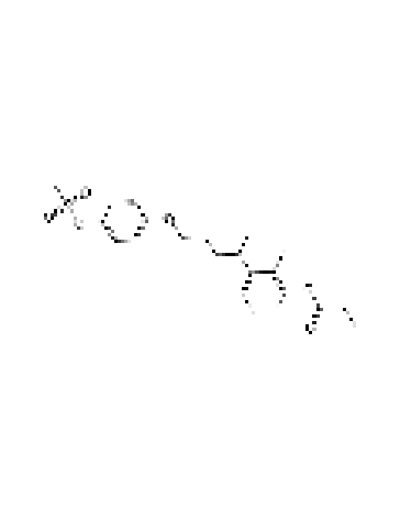 CCC(=O)Oc1cccc(C(C)CCCOc2ccc(OS(C)(=O)=O)cc2)c1C